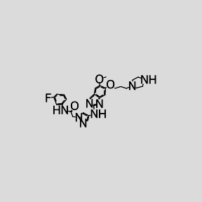 COc1cc2cnc(Nc3cnn(CC(=O)Nc4cccc(F)c4)c3)nc2cc1OCCCN1CCNCC1